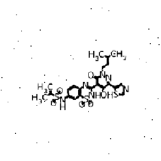 CC(C)CCn1nc(-c2cncs2)c(O)c(C2=Nc3ccc(NS(=O)(=O)C(C)C)cc3S(=O)(=O)N2)c1=O